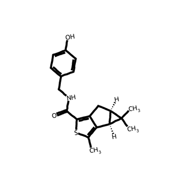 Cc1sc(C(=O)NCc2ccc(O)cc2)c2c1[C@H]1[C@@H](C2)C1(C)C